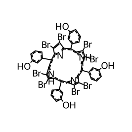 Oc1cccc(-c2c3nc(c(-c4cccc(O)c4)c4[nH]c(c(Br)c4Br)c(-c4cccc(O)c4)c4nc(c(-c5cccc(O)c5)c5[nH]c2c(Br)c5Br)C(Br)=C4Br)C(Br)=C3Br)c1